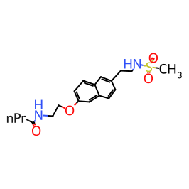 CCCC(=O)NCCOc1ccc2cc(CCNS(C)(=O)=O)ccc2c1